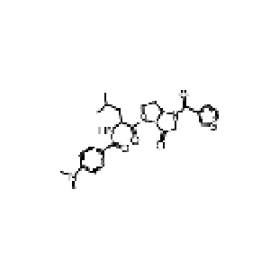 CC(C)CC(NC(=O)c1ccc(N(C)C)cc1)C(=O)N1CCC2C1C(=O)CN2C(=O)c1ccsc1